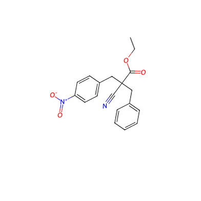 CCOC(=O)C(C#N)(Cc1ccccc1)Cc1ccc([N+](=O)[O-])cc1